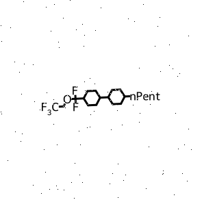 CCCCCC1CCC(C2CCC(C(F)(F)OCC(F)(F)F)CC2)CC1